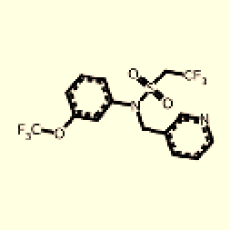 O=S(=O)(CC(F)(F)F)N(Cc1cccnc1)c1cccc(OC(F)(F)F)c1